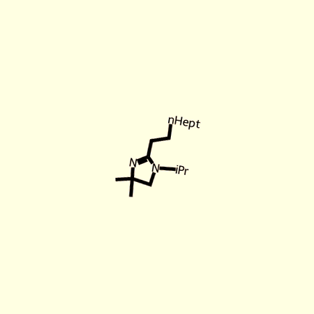 CCCCCCCCCC1=NC(C)(C)CN1C(C)C